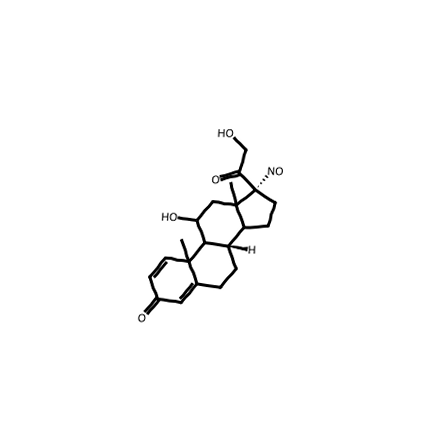 CC12C=CC(=O)C=C1CC[C@@H]1C2C(O)CC2(C)C1CC[C@]2(N=O)C(=O)CO